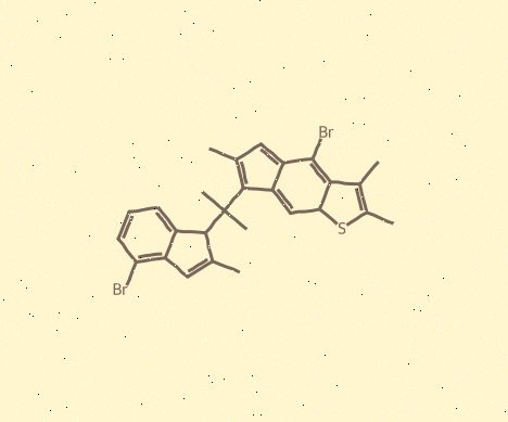 CC1=Cc2c(Br)cccc2C1C(C)(C)C1=C(C)C=C2C1=CC1SC(C)=C(C)C1=C2Br